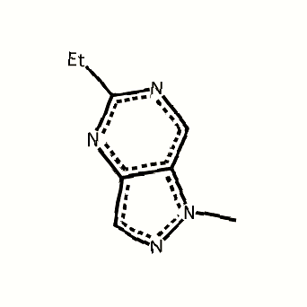 CCc1ncc2c(cnn2C)n1